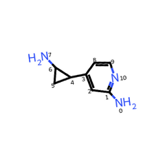 Nc1cc(C2CC2N)ccn1